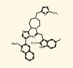 COc1nc2ccccc2cc1-c1cnc(C2CCN(Cc3ccn(C)n3)CCN2C(=O)Cc2c(C)[nH]c3ccc(F)cc23)[nH]1